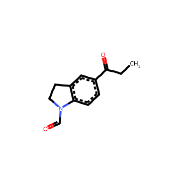 CCC(=O)c1ccc2c(c1)CCN2C=O